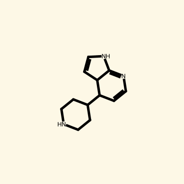 C1=CC(C2CCNCC2)C2C=CNC2=N1